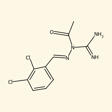 CC(=O)N(/N=C/c1cccc(Cl)c1Cl)C(=N)N